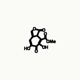 COC(=O)C1=C(O)C(=O)C(O)=CC2=COC(=O)C21